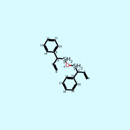 C=CC([SiH2]O[SiH2]C(C=C)c1ccccc1)c1ccccc1